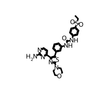 CCS(=O)(=O)c1ccc(NC(=O)Nc2cccc(-c3sc(N4CCOCC4)nc3-c3ccnc(N)n3)c2)cc1